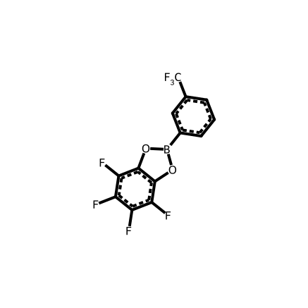 Fc1c(F)c(F)c2c(c1F)OB(c1cccc(C(F)(F)F)c1)O2